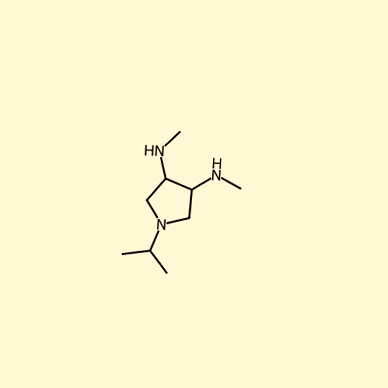 CNC1CN(C(C)C)CC1NC